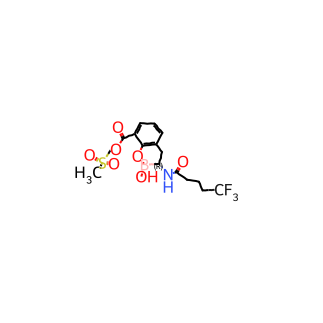 CS(=O)(=O)COC(=O)c1cccc2c1OB(O)[C@@H](NC(=O)CCCC(F)(F)F)C2